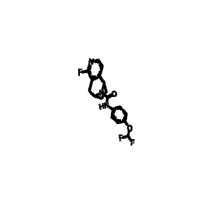 O=C(Nc1ccc(OC(F)F)cc1)N1C2CCC1c1ccnc(F)c1C2